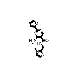 Cn1ccnc1CNC(=O)c1cnc(-c2ccco2)nc1N